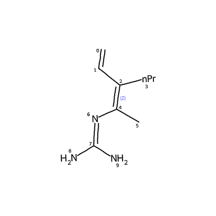 C=C/C(CCC)=C(/C)N=C(N)N